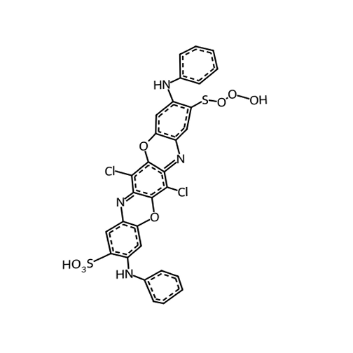 O=S(=O)(O)c1cc2c(cc1Nc1ccccc1)Oc1c(Cl)c3c(c(Cl)c1=N2)Oc1cc(Nc2ccccc2)c(SOOO)cc1N=3